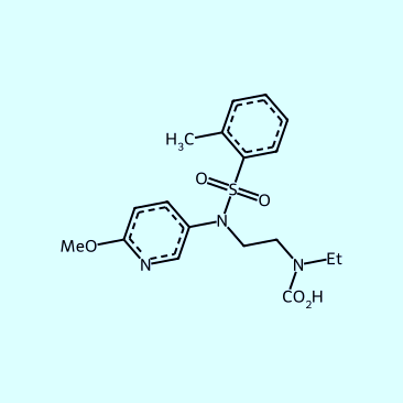 CCN(CCN(c1ccc(OC)nc1)S(=O)(=O)c1ccccc1C)C(=O)O